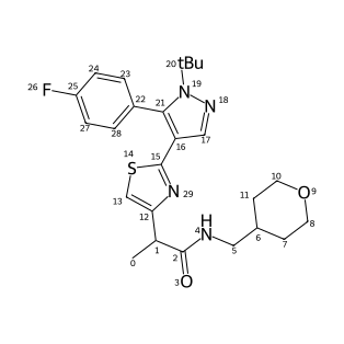 CC(C(=O)NCC1CCOCC1)c1csc(-c2cnn(C(C)(C)C)c2-c2ccc(F)cc2)n1